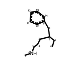 CCC(CCCNC)Cc1ccccc1